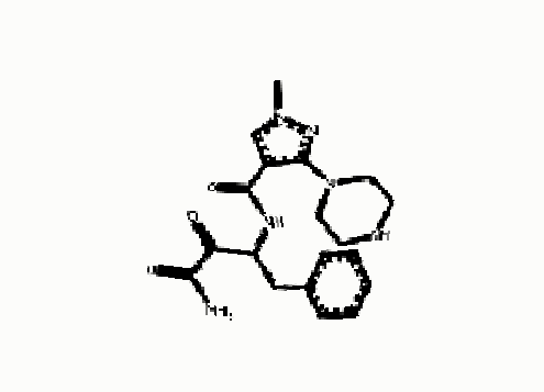 Cn1cc(C(=O)NC(Cc2ccccc2)C(=O)C(N)=O)c(N2CCNCC2)n1